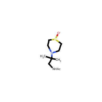 CC(=O)NCC(C)(C)N1CC[S+]([O-])CC1